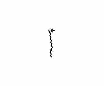 CCCCC#CCCCCCCCCCCO